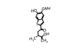 C=C(O)[C@@H](C)CC(=O)c1cc2cc(OC)c(O)cc2s1